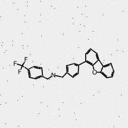 FC(F)(F)c1ccc(C[N]Cc2ccc(-c3cccc4c3oc3ccccc34)cc2)cc1